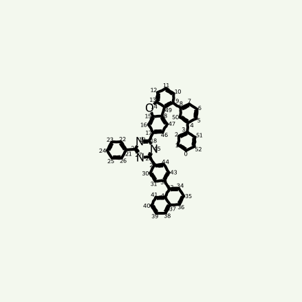 c1ccc(-c2cccc(-c3cccc4oc5cc(-c6nc(-c7ccccc7)nc(-c7ccc(-c8cccc9ccccc89)cc7)n6)ccc5c34)c2)cc1